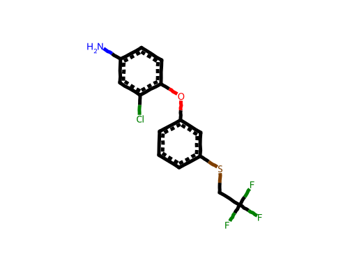 Nc1ccc(Oc2cccc(SCC(F)(F)F)c2)c(Cl)c1